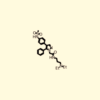 CCN(CC)CCCNC(=O)Cn1ncc(-c2ccc(NS(C)(=O)=O)cc2)c1-c1ccccc1